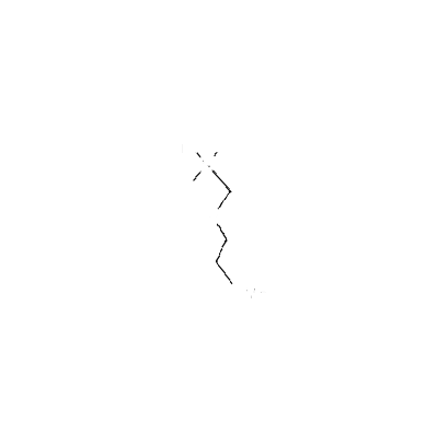 CC[N+](CC)(CC)COCCOC.[Cl-]